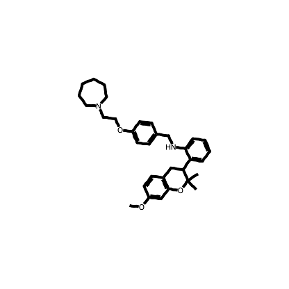 COc1ccc2c(c1)OC(C)(C)C(c1ccccc1NCc1ccc(OCCN3CCCCCC3)cc1)C2